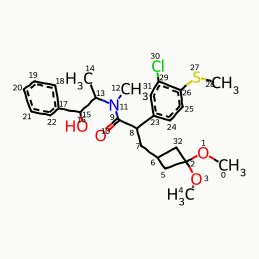 COC1(OC)CC(CC(C(=O)N(C)C(C)C(O)c2ccccc2)c2ccc(SC)c(Cl)c2)C1